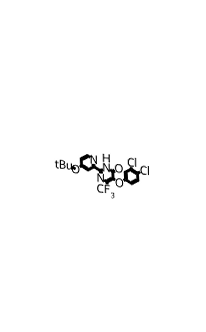 CC(C)(C)Oc1ccnc(-c2nc(C(F)(F)F)c(Oc3ccc(Cl)c(Cl)c3)c(=O)[nH]2)c1